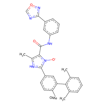 COc1ccc(-c2[nH]c(C)c(C(=O)Nc3cccc(-c4ncon4)c3)[n+]2[O-])cc1-c1c(C)cccc1C